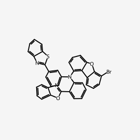 Brc1cccc2c1oc1cccc(N(c3cccc(-c4nc5ccccc5s4)c3)c3ccccc3-c3nc4ccccc4o3)c12